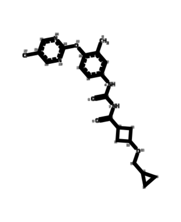 Cc1cc(NC(=O)NC(=O)C2CC(OCC3CC3)C2)ccc1Oc1ncc(Cl)cn1